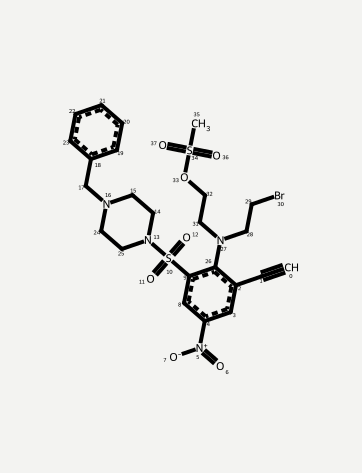 C#Cc1cc([N+](=O)[O-])cc(S(=O)(=O)N2CCN(Cc3ccccc3)CC2)c1N(CCBr)CCOS(C)(=O)=O